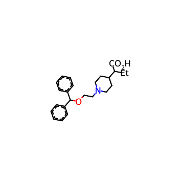 CCC(C(=O)O)C1CCN(CCOC(c2ccccc2)c2ccccc2)CC1